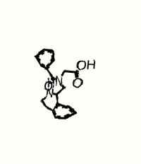 O=C(O)CN(CC1NCCc2ccccc21)C(=O)c1ccccc1